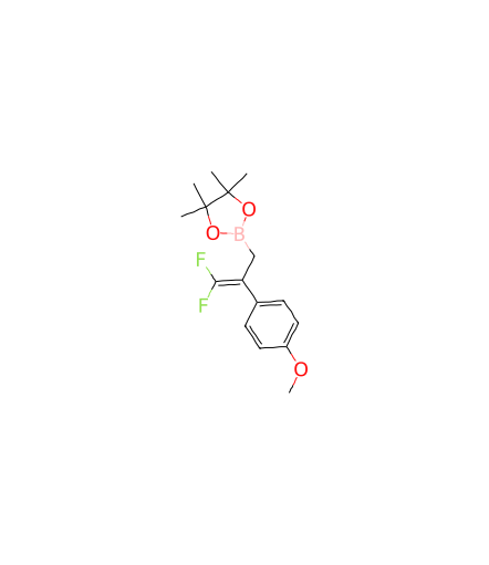 COc1ccc(C(CB2OC(C)(C)C(C)(C)O2)=C(F)F)cc1